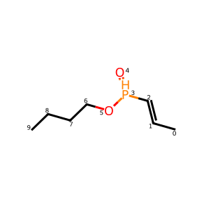 CC=C[PH](=O)OCCCC